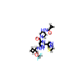 O=C(NC1CCN(C(=O)c2cc(NCC3(COC(F)F)CCC3)nc(-c3cnn4ccsc34)n2)CC1)C1CC1